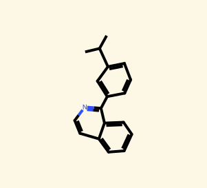 CC(C)c1cccc(-c2nccc3ccccc23)c1